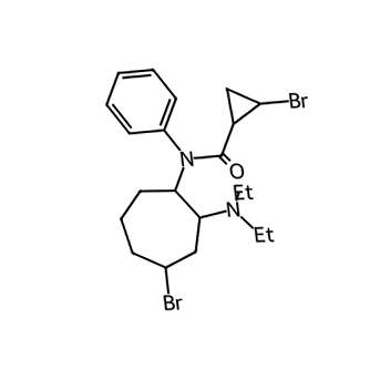 CCN(CC)C1CC(Br)CCCC1N(C(=O)C1CC1Br)c1ccccc1